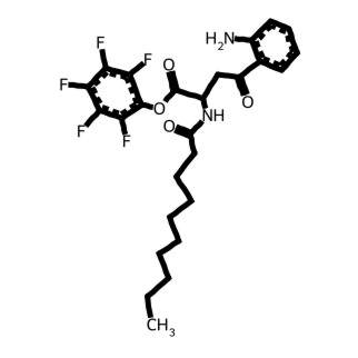 CCCCCCCCCC(=O)NC(CC(=O)c1ccccc1N)C(=O)Oc1c(F)c(F)c(F)c(F)c1F